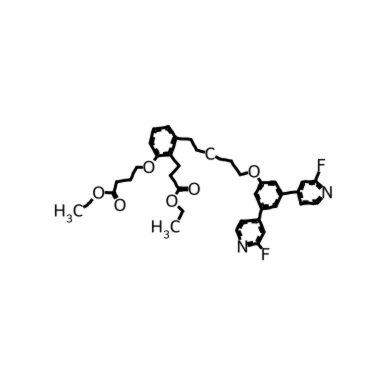 CCOC(=O)CCCOc1cccc(CCCCCCOc2cc(-c3ccnc(F)c3)cc(-c3ccnc(F)c3)c2)c1CCC(=O)OCC